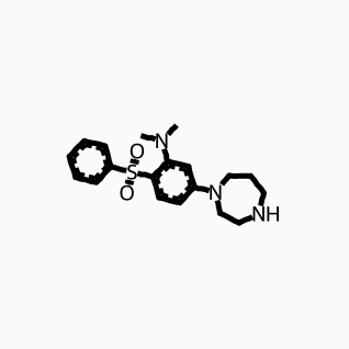 CN(C)c1cc(N2CCCNCC2)ccc1S(=O)(=O)c1ccccc1